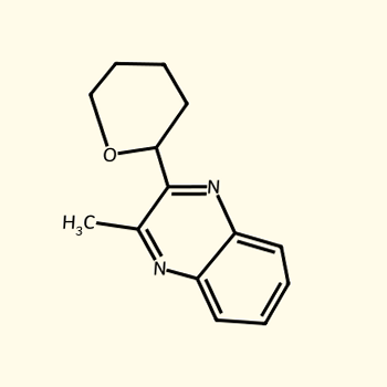 Cc1nc2ccccc2nc1C1CCCCO1